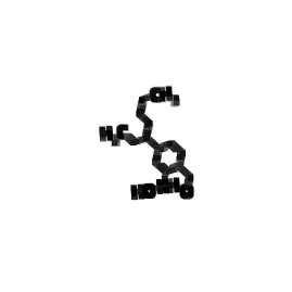 C=C/C(=C\C=C/C)c1ccc(C=O)c(NO)c1